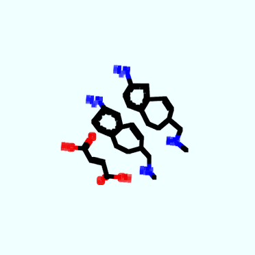 CNCC1C=Cc2cc(N)ccc2CC1.CNCC1C=Cc2cc(N)ccc2CC1.O=C(O)C=CC(=O)O